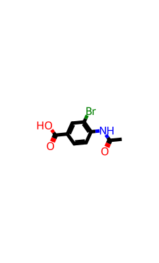 CC(=O)Nc1ccc(C(=O)O)cc1Br